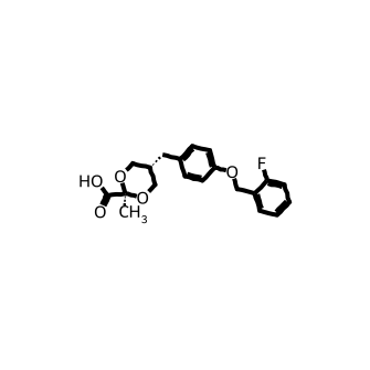 C[C@]1(C(=O)O)OC[C@H](Cc2ccc(OCc3ccccc3F)cc2)CO1